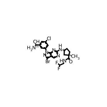 C[C@H](N)c1cc(Cl)cc(-n2nc(Br)c3cnc(N[C@@H]4CC[C@@](C)(C(=O)NCC(F)F)C4)nc32)c1